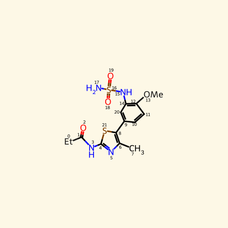 CCC(=O)Nc1nc(C)c(-c2ccc(OC)c(NS(N)(=O)=O)c2)s1